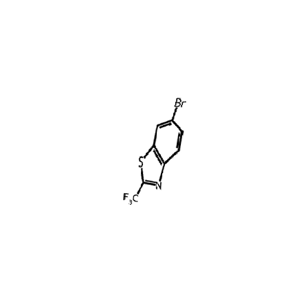 FC(F)(F)c1nc2ccc(Br)cc2s1